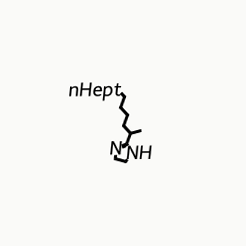 CCCCCCCCCCCC(C)C1=NCCN1